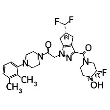 Cc1cccc(N2CCN(C(=O)Cn3nc(C(=O)N4CC[C@H](O)[C@H](F)C4)c4c3C[C@H](C(F)F)C4)CC2)c1C